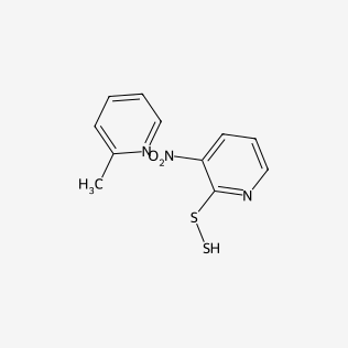 Cc1ccccn1.O=[N+]([O-])c1cccnc1SS